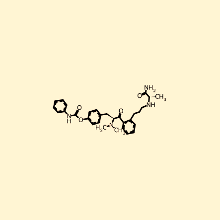 C[C@H](NCCCc1ccccc1C(=O)[C@H](Cc1ccc(OC(=O)Nc2ccccc2)cc1)N(C)C)C(N)=O